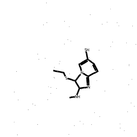 CCSC1C(NC)N=C2C=CC(S)=CN21